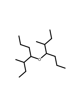 CCCC(OC(CCC)C(C)CC)C(C)CC